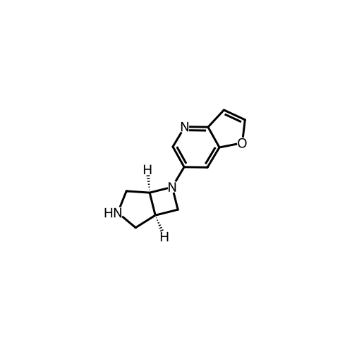 c1cc2ncc(N3C[C@H]4CNC[C@H]43)cc2o1